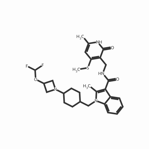 CSc1cc(C)[nH]c(=O)c1CNC(=O)c1c(C)n(CC2CCC(N3CC(OC(F)F)C3)CC2)c2ccccc12